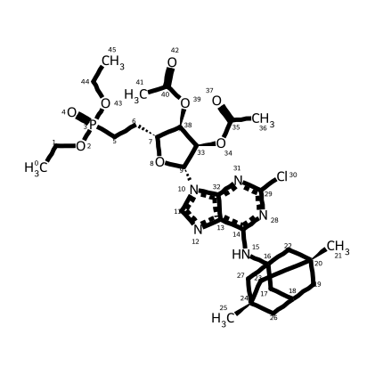 CCOP(=O)(CC[C@H]1O[C@@H](n2cnc3c(NC45CC6C[C@@](C)(C4)C[C@](C)(C6)C5)nc(Cl)nc32)[C@H](OC(C)=O)[C@@H]1OC(C)=O)OCC